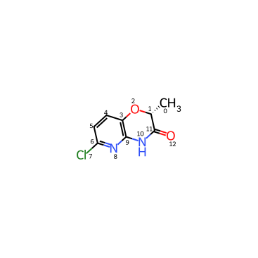 C[C@H]1Oc2ccc(Cl)nc2NC1=O